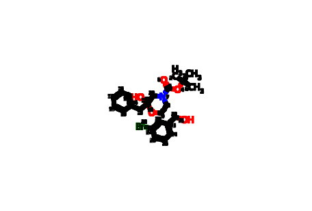 CC(C)(C)OC(=O)N1CCOC(O)(Cc2ccccc2)C1.OCc1cccc(Br)c1